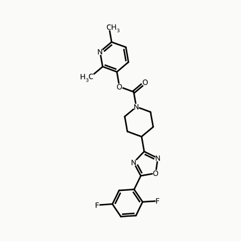 Cc1ccc(OC(=O)N2CCC(c3noc(-c4cc(F)ccc4F)n3)CC2)c(C)n1